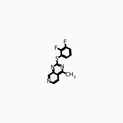 Cc1nc(Sc2cccc(F)c2F)nc2cnccc12